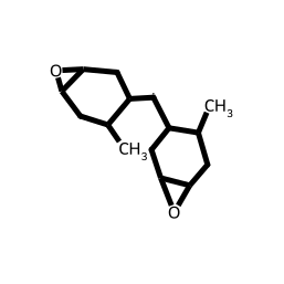 CC1CC2OC2CC1[CH]C1CC2OC2CC1C